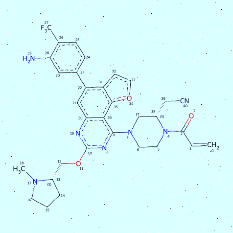 C=CC(=O)N1CCN(c2nc(OC[C@@H]3CCCN3C)nc3cc(-c4ccc(C(F)(F)F)c(N)c4)c4ccoc4c23)C[C@@H]1CC#N